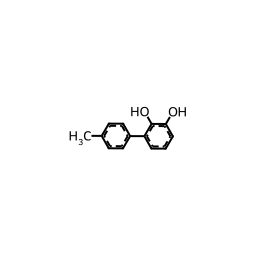 Cc1ccc(-c2cccc(O)c2O)cc1